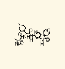 Cc1ncoc1C(=O)NC(C(=O)Nc1cc2c(cn1)C1(CCOCC1)C(=O)N2)C1CCC(C)CC1